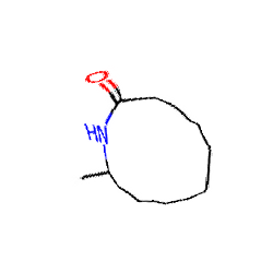 CC1CCCCCCC(=O)N1